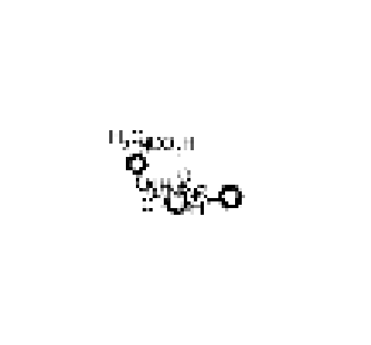 CN(C(=O)O)C1CCC(ONC(=O)[C@@H]2CC[C@@H]3CN2C(=O)N3OCc2ccccc2)C1